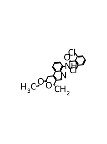 C=Cc1cnc2c(NC(=O)c3c(Cl)cccc3Cl)cccc2c1CC(=O)OCC